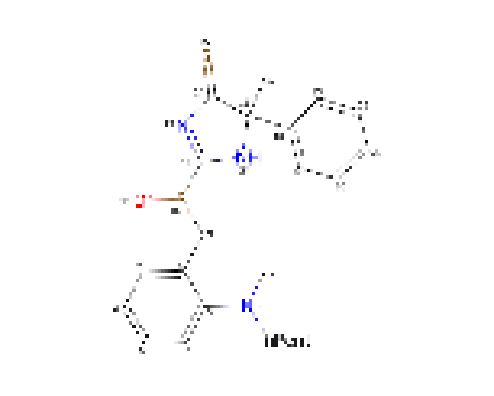 CCCCCN(C)c1ccccc1C[S+]([O-])C1=NC(=S)C(C)(c2ccccc2)N1